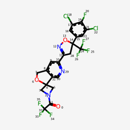 O=C(N1CC2(C1)OCc1cc(C3=NOC(c4cc(Cl)c(F)c(Cl)c4)(C(F)(F)F)C3)ncc12)C(F)(F)F